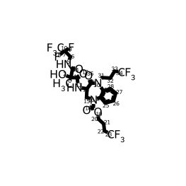 CC(O)(C(=O)NCC(F)(F)C(F)(F)F)C(=O)NC1CN(C(=O)OCCCC(F)(F)F)c2ccccc2N(CCCC(F)(F)F)C1=O